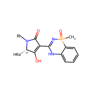 CP1(=O)N=C(C2=C(O)[C@H]([RaH])[N]([Rb])C2=O)Nc2ccccc21